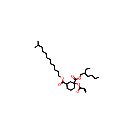 C=CC(=O)OC1(C(=O)OCC(CC)CCCC)CCCC(C(=O)OCCCCCCCCCCC(C)C)C1